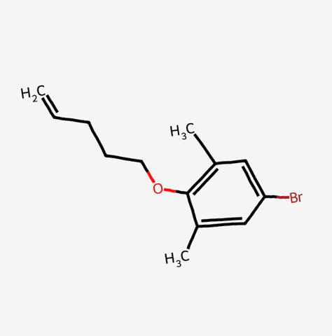 C=CCCCOc1c(C)cc(Br)cc1C